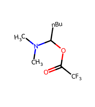 CCCCC(OC(=O)C(F)(F)F)N(C)C